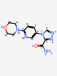 NC(=O)c1nncn1-c1ccc(N2CCOCC2)nc1